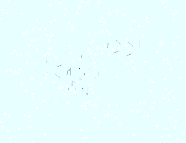 O=C(CCc1ccc2cc(F)ccc2c1)C(=O)N[C@H](CN1CCCC1)[C@H](O)c1cc(F)c2c(c1)OCCO2